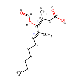 CCCCCC/C=C(C)/C(OC=O)=C(/C)CC(=O)O